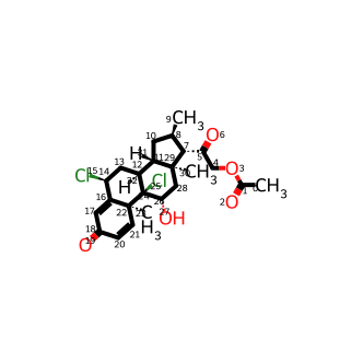 CC(=O)OCC(=O)[C@H]1[C@H](C)C[C@H]2[C@@H]3C[C@H](Cl)C4=CC(=O)C=C[C@]4(C)[C@@]3(Cl)[C@@H](O)C[C@@]21C